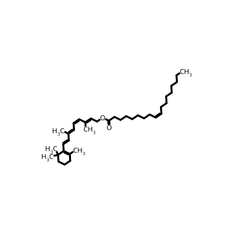 CCCCCCCC/C=C\CCCCCCCC(=O)OC/C=C(C)/C=C\C=C(C)\C=C\C1=C(C)CCCC1(C)C